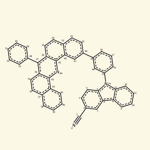 N#Cc1ccc2c(c1)c1ccccc1n2-c1cccc(-c2ccc3ccc4c(-c5ccccc5)c5ccc6ccccc6c5nc4c3c2)c1